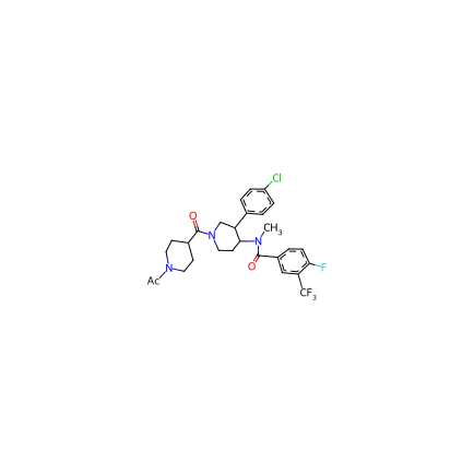 CC(=O)N1CCC(C(=O)N2CCC(N(C)C(=O)c3ccc(F)c(C(F)(F)F)c3)C(c3ccc(Cl)cc3)C2)CC1